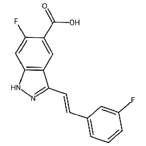 O=C(O)c1cc2c(/C=C/c3cccc(F)c3)n[nH]c2cc1F